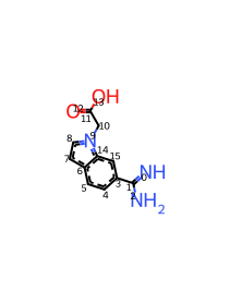 N=C(N)c1ccc2ccn(CC(=O)O)c2c1